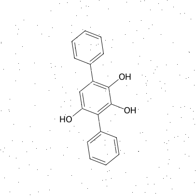 Oc1cc(-c2ccccc2)c(O)c(O)c1-c1ccccc1